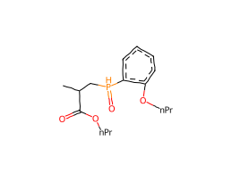 CCCOC(=O)C(C)C[PH](=O)c1ccccc1OCCC